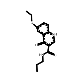 CCCNC(=O)c1c[nH]c2ccc(OCC)cc2c1=O